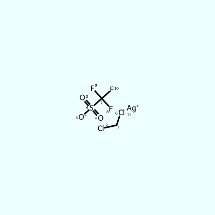 ClCCl.O=S(=O)([O-])C(F)(F)F.[Ag+]